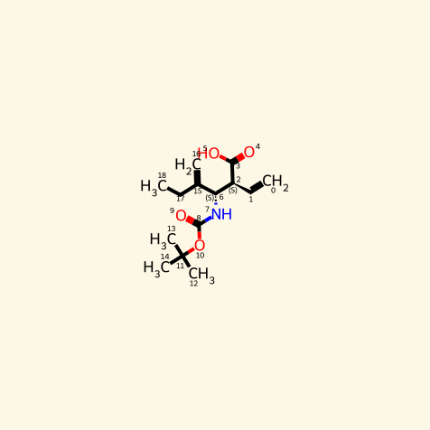 C=C[C@H](C(=O)O)[C@H](NC(=O)OC(C)(C)C)C(=C)CC